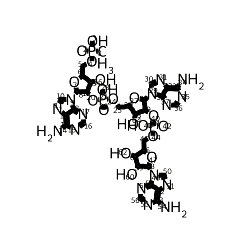 CP(=O)(O)OCC1OC(n2cnc3c(N)ncnc32)C(OP(=O)(O)OCC2OC(n3cnc4c(N)ncnc43)C(OP(=O)(O)OCC3OC(n4cnc5c(N)ncnc54)C(O)C3O)C2O)C1O